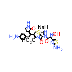 Nc1ccc(CC(=C2CCNC2=O)C2=C(C(=O)O)N3C(=O)[C@@H](NC(=O)C(=NO)c4csc(N)n4)[C@H]3SC2)cc1.[NaH]